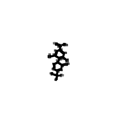 O=c1cc(C(F)(F)F)ncn1-c1c(Cl)cc([N+](=O)[O-])cc1Cl